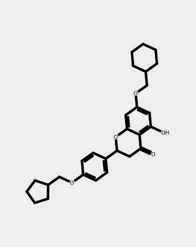 O=C1CC(c2ccc(OCC3CCCC3)cc2)Oc2cc(OCC3CCCCC3)cc(O)c21